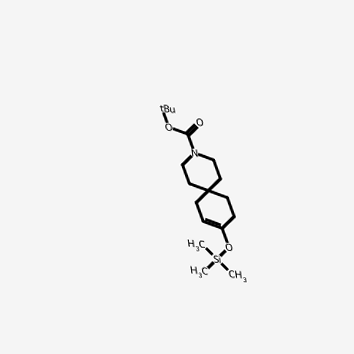 CC(C)(C)OC(=O)N1CCC2(CC=C(O[Si](C)(C)C)CC2)CC1